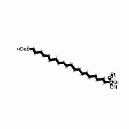 CCCCCCCCCCCCCCCCCCCCCCCCCCCCCCP(=O)(O)OCC